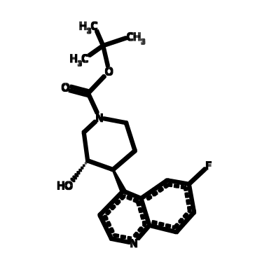 CC(C)(C)OC(=O)N1CC[C@@H](c2ccnc3ccc(F)cc23)[C@H](O)C1